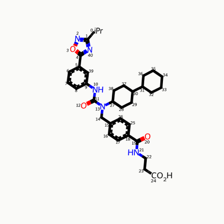 CC(C)c1noc(-c2cccc(NC(=O)N(Cc3ccc(C(=O)NCCC(=O)O)cc3)C3CCC(C4CCCCC4)CC3)c2)n1